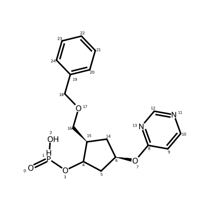 O=[PH](O)OC1C[C@H](Oc2ccncn2)C[C@@H]1COCc1ccccc1